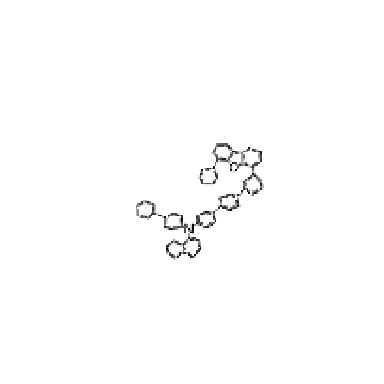 c1ccc(-c2ccc(N(c3ccc(-c4ccc(-c5cccc(-c6cccc7c6oc6c(-c8ccccc8)cccc67)c5)cc4)cc3)c3cccc4ccccc34)cc2)cc1